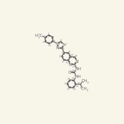 Cc1ccc(-n2cnc(-c3ccc4nc(NC(=O)Nc5ccccc5C(C)C)ncc4c3)n2)cc1